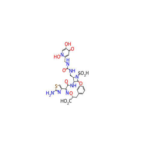 Nc1nc(/C(=N/O[C@@H](Cc2ccccc2)C(=O)O)C(=O)N[C@@H]2C(=O)N(S(=O)(=O)O)[C@@H]2CNC(=O)NCc2cc(=O)c(O)cn2O)cs1